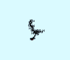 CN(CCCCC(NC(=O)CNC(=O)CNC(=O)CNC(=O)c1ccc(C(C)(C)C)cc1)C(=O)NC(CO)C(=O)O)C1CC2CCC1C2